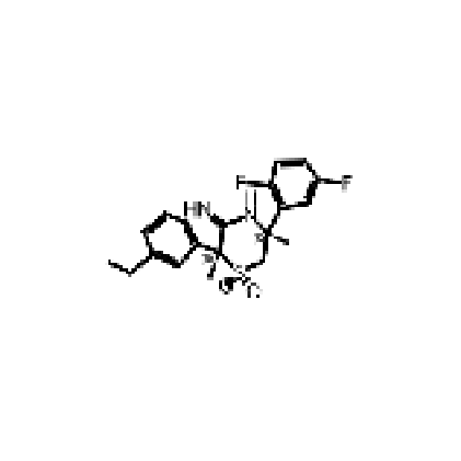 CCc1cccc([C@]2(C)C(=N)N[C@](C)(c3cc(F)ccc3F)CS2(=O)=O)c1